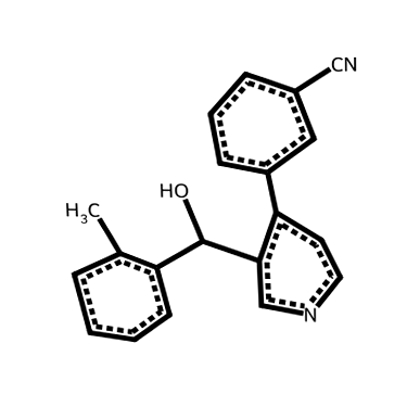 Cc1ccccc1C(O)c1cnccc1-c1cccc(C#N)c1